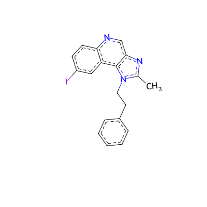 Cc1nc2cnc3ccc(I)cc3c2n1CCc1ccccc1